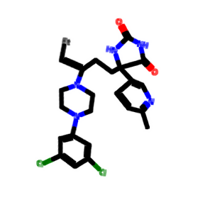 CC/C=C(\CCC1(c2ccc(C)nc2)NC(=O)NC1=O)N1CCN(c2cc(Cl)cc(Cl)c2)CC1